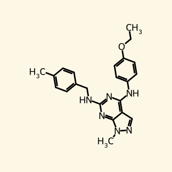 CCOc1ccc(Nc2nc(NCc3ccc(C)cc3)nc3c2cnn3C)cc1